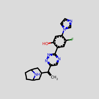 C=C(c1cnc(-c2cc(F)c(-n3ccnc3)cc2O)nn1)C1CC2CCC(C1)N2